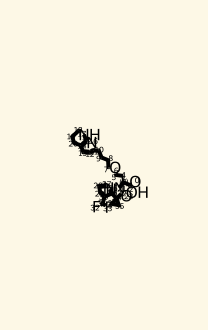 O=C(O)[C@H](CCOCCCCc1ccc2c(n1)NCCC2)NC(=O)C1(c2ncccc2C(F)F)CC1